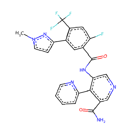 Cn1ccc(-c2cc(C(=O)Nc3cncc(C(N)=O)c3-c3ccccn3)c(F)cc2C(F)(F)F)n1